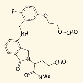 CNC(=O)C(CCC=O)N1Cc2c(NCc3cc(OCCOC=O)ccc3F)cccc2C1=O